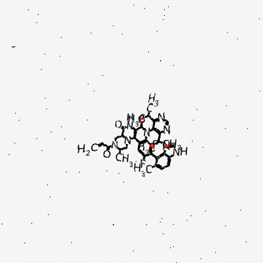 C=CC(=O)N1CC2C(=O)Nc3c(c4cc(F)c(-c5c(C)ccc6[nH]cnc56)c(F)c4n(-c4c(C(C)C)ncnc4C(C)C)c3=O)N2CC1C